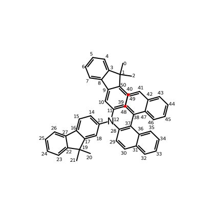 CC1(C)c2ccccc2-c2cc(N(c3ccc4c(c3)C(C)(C)c3ccccc3-4)c3ccc4ccccc4c3-c3cccc4ccccc34)ccc21